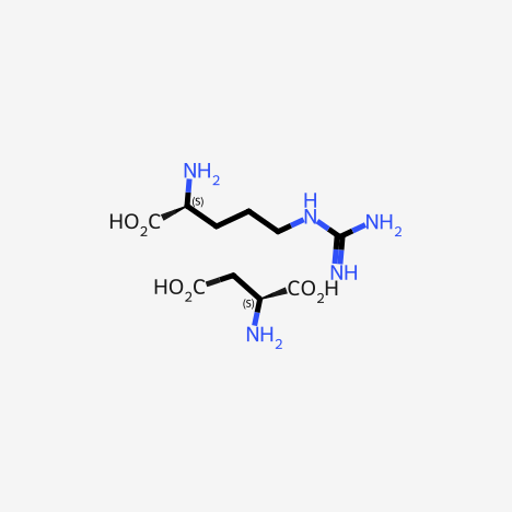 N=C(N)NCCC[C@H](N)C(=O)O.N[C@@H](CC(=O)O)C(=O)O